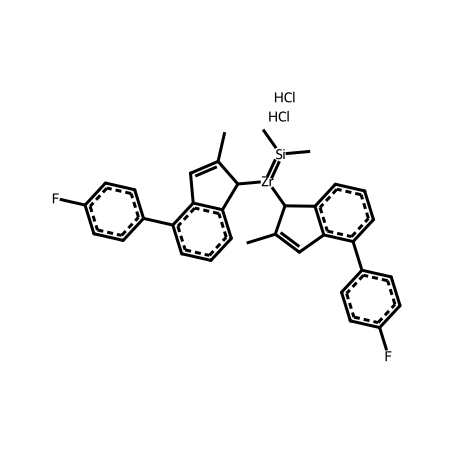 CC1=Cc2c(-c3ccc(F)cc3)cccc2[CH]1[Zr]([CH]1C(C)=Cc2c(-c3ccc(F)cc3)cccc21)=[Si](C)C.Cl.Cl